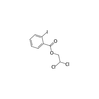 O=C(OCC(Cl)Cl)c1ccccc1I